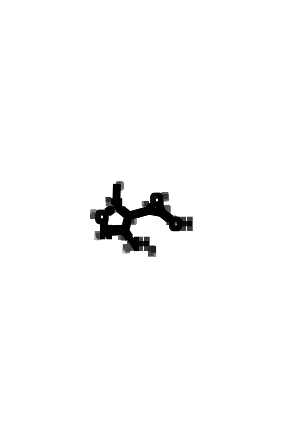 CN1ON=C(N)C1C1OC1O